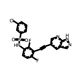 O=S(=O)(Nc1ccc(F)c(C#Cc2cnc3[nH]ncc3c2)c1F)c1cccc(Cl)c1